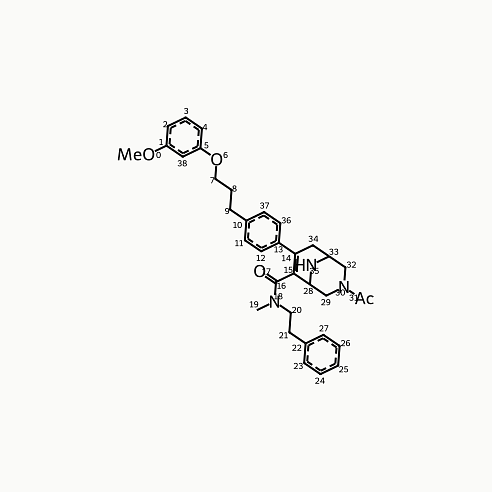 COc1cccc(OCCCc2ccc(C3=C(C(=O)N(C)CCc4ccccc4)C4CN(C(C)=O)CC(C3)N4)cc2)c1